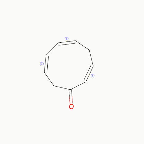 O=C1/C=C\C/C=C\C=C/C1